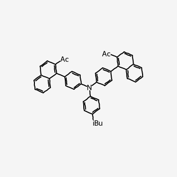 CCC(C)c1ccc(N(c2ccc(-c3c(C(C)=O)ccc4ccccc34)cc2)c2ccc(-c3c(C(C)=O)ccc4ccccc34)cc2)cc1